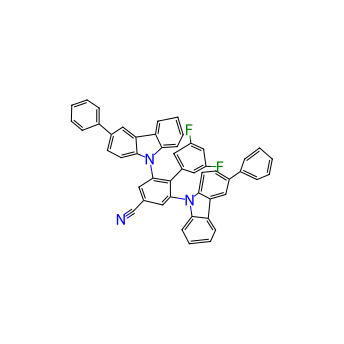 N#Cc1cc(-n2c3ccccc3c3cc(-c4ccccc4)ccc32)c(-c2cc(F)cc(F)c2)c(-n2c3ccccc3c3cc(-c4ccccc4)ccc32)c1